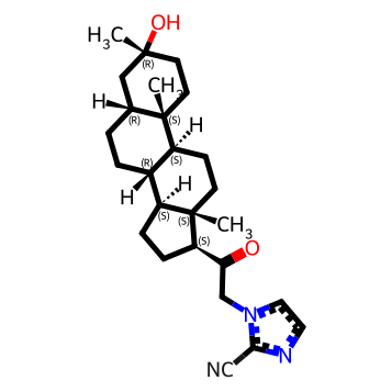 C[C@@]1(O)CC[C@@]2(C)[C@H](CC[C@@H]3[C@@H]2CC[C@]2(C)[C@@H](C(=O)Cn4ccnc4C#N)CC[C@@H]32)C1